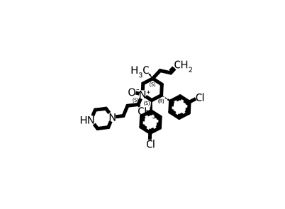 C=CC[C@@]1(C)C[C@H](c2cccc(Cl)c2)[C@@H](c2ccc(Cl)cc2)[N+]([O-])([C@@H](C)CCN2CCNCC2)C1